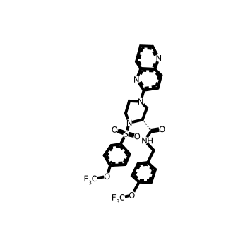 O=C(NCc1ccc(OC(F)(F)F)cc1)[C@H]1CN(c2ccc3ncccc3n2)CCN1S(=O)(=O)c1ccc(OC(F)(F)F)cc1